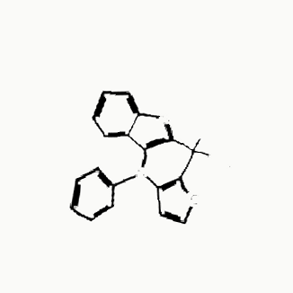 CC1(C)c2occc2N(c2ccccc2)c2c1sc1ccccc21